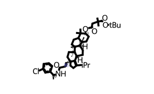 CC(C)C1=C2[C@H]3CC[C@@H]4[C@@]5(C)CC[C@H](OC(=O)CC(C)(C)C(=O)OC(C)(C)C)C(C)(C)C5CC[C@@]4(C)[C@]3(C)CC[C@@]2(/C=C/C(=O)N[C@@H](C)c2cccc(Cl)c2)CC1